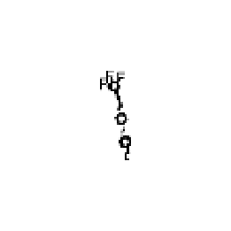 CCC[C@H]1CC[C@H](CC[C@H]2CC[C@H](C=CC#Cc3cc(F)c(F)c(F)c3)CC2)CC1